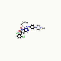 COCCOn1c(=O)c(-c2c(Cl)cccc2Cl)cc2cnc(Nc3ccc(N4CCN(C(C)C)CC4)cc3)nc21